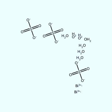 O.O.O.O.O.O.O.O=S(=O)([O-])[O-].O=S(=O)([O-])[O-].O=S(=O)([O-])[O-].[Bi+3].[Bi+3]